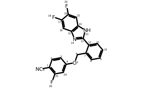 N#Cc1ccc(OCc2ccccc2-c2nc3cc(F)c(F)cc3[nH]2)cc1F